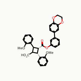 COc1ccccc1C1C(C(=O)O)[C@@H](c2ccccc2OC)[C@H]1C(=O)Oc1cccc(-c2ccc3c(c2)OCCO3)c1